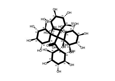 O=C(C([C@]1(O)[C@H](O)[C@H](O)[C@@H](O)[C@H](O)[C@H]1O)([C@]1(O)[C@H](O)[C@H](O)[C@@H](O)[C@H](O)[C@H]1O)[C@]1(O)[C@H](O)[C@H](O)[C@@H](O)[C@H](O)[C@H]1O)[C@]1(O)[C@H](O)[C@H](O)[C@@H](O)[C@H](O)[C@H]1O